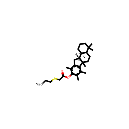 COCCSCC(=O)Oc1c(C)c(C)c2c(c1C)C[C@H]1C2(C)CCC2C(C)(C)CCC[C@@]21C